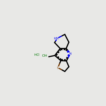 Cc1c2c(nc3c1SCC3)CCNC2.Cl.Cl